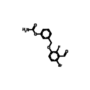 NC(=O)Oc1cccc(COc2ccc(Br)c(C=O)c2F)c1